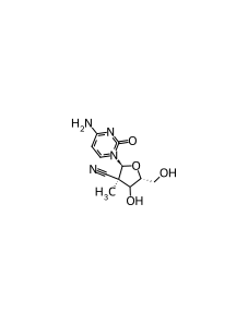 C[C@@]1(C#N)C(O)[C@@H](CO)O[C@@H]1n1ccc(N)nc1=O